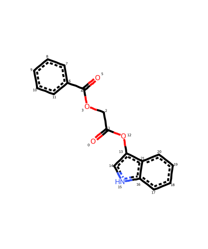 O=C(COC(=O)c1ccccc1)Oc1c[nH]c2ccccc12